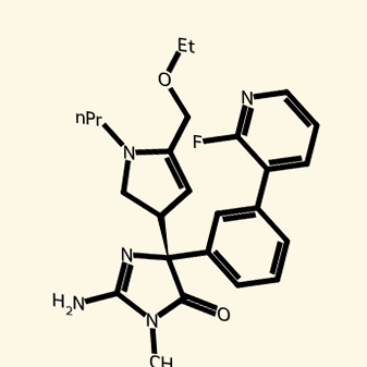 CCCN1CC([C@]2(c3cccc(-c4cccnc4F)c3)N=C(N)N(C)C2=O)C=C1COCC